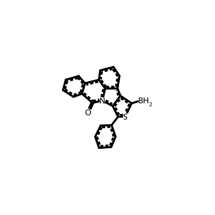 Bc1sc(-c2ccccc2)c2c1c1cccc3c4ccccc4c(=O)n2c31